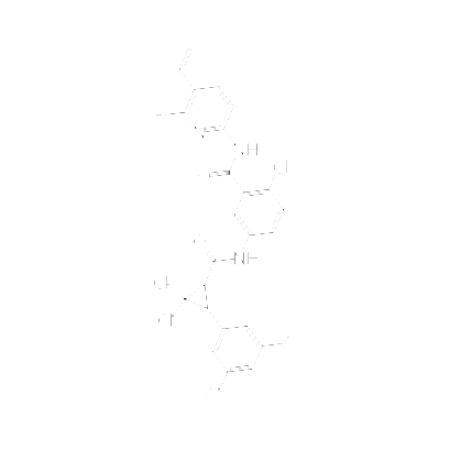 C=Cc1ccc(NC(=O)c2cc(NC(=O)C3C(c4cc(Cl)cc(Cl)c4)C3(Cl)Cl)ccc2Cl)nc1F